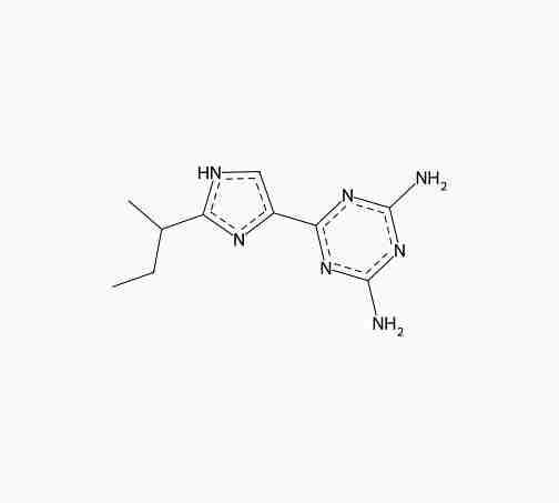 CCC(C)c1nc(-c2nc(N)nc(N)n2)c[nH]1